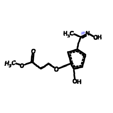 COC(=O)CCOc1cc(/C(C)=N\O)ccc1O